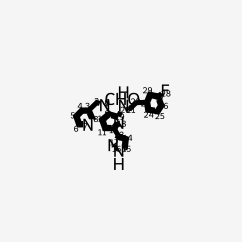 O=CN(Cc1cccnc1)c1ccc(-c2cc[nH]n2)nc1NCCc1cccc(F)c1